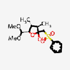 COC(OC)[C@@H]1OC(O)(CS(=O)(=O)c2ccccc2)[C@H](C)[C@H]1C